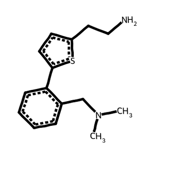 CN(C)Cc1ccccc1-c1ccc(CCN)s1